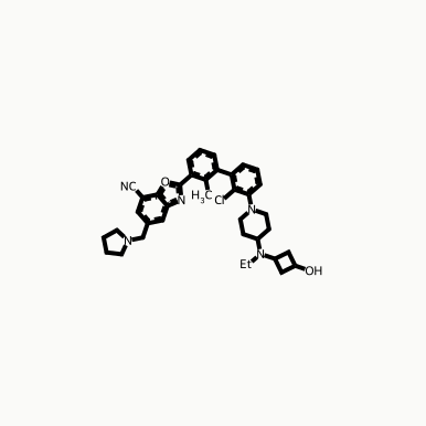 CCN(C1CCN(c2cccc(-c3cccc(-c4nc5cc(CN6CCCC6)cc(C#N)c5o4)c3C)c2Cl)CC1)C1CC(O)C1